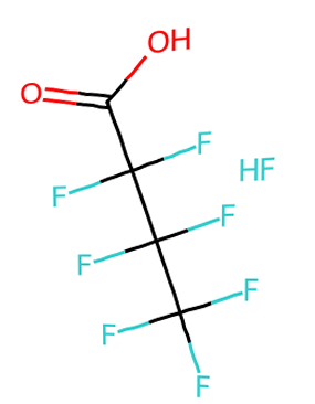 F.O=C(O)C(F)(F)C(F)(F)C(F)(F)F